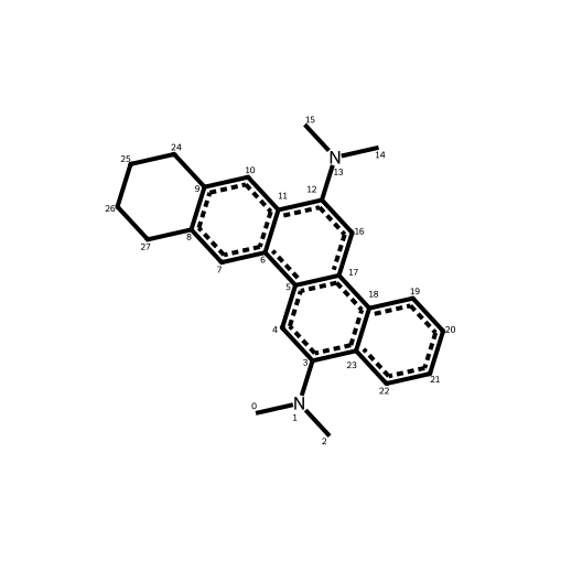 CN(C)c1cc2c3cc4c(cc3c(N(C)C)cc2c2ccccc12)CCCC4